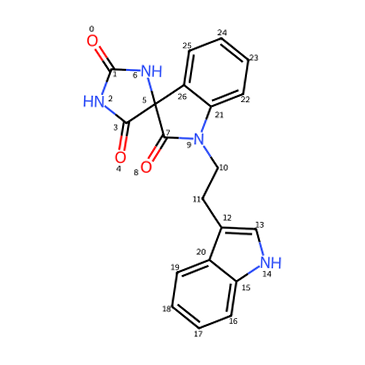 O=C1NC(=O)C2(N1)C(=O)N(CCc1c[nH]c3ccccc13)c1ccccc12